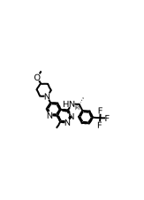 COC1CCN(c2cnc3c(C)nnc(N[C@H](C)c4cccc(C(F)(F)F)c4)c3c2)CC1